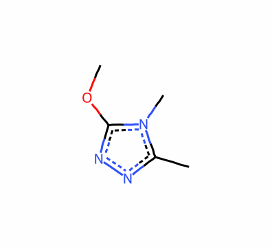 COc1nnc(C)n1C